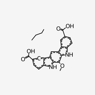 CCCC.COc1c2[nH]c3ccc(C(=O)O)cc3c2cc2c1[nH]c1ccc(C(=O)O)cc12